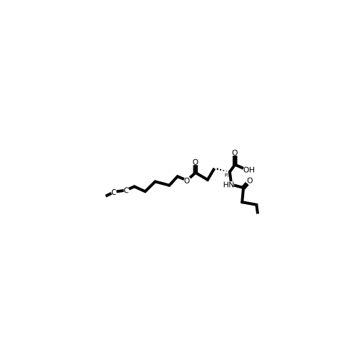 CCCCCCCCOC(=O)CC[C@@H](NC(=O)CCC)C(=O)O